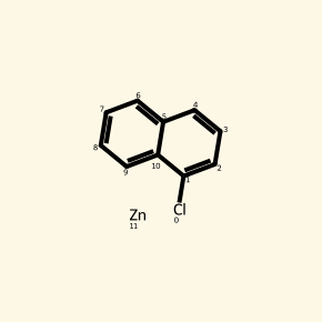 Clc1cccc2ccccc12.[Zn]